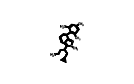 Cc1cc(C)c(-c2cccc3c(C(CCN)CC4CC4)n(C)nc23)c(C)c1